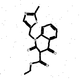 CCOC(=O)C1C(=O)c2ccccc2N(Cc2cnc(C)s2)C1=O